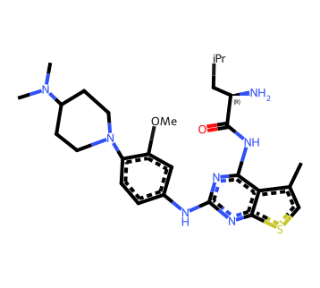 COc1cc(Nc2nc(NC(=O)[C@H](N)CC(C)C)c3c(C)csc3n2)ccc1N1CCC(N(C)C)CC1